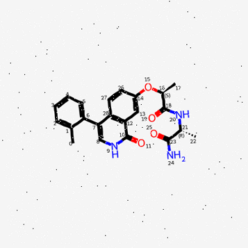 Cc1ccccc1-c1c[nH]c(=O)c2cc(O[C@@H](C)C(=O)N[C@H](C)C(N)=O)ccc12